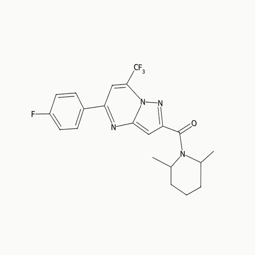 CC1CCCC(C)N1C(=O)c1cc2nc(-c3ccc(F)cc3)cc(C(F)(F)F)n2n1